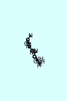 CC(C(=O)N1CCC(C#N)C1)n1cc(-c2cnn3c(-c4cccc(NC(=O)NCC(F)(F)F)c4)cnc3c2)cn1